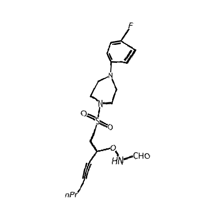 CCCC#CC(CS(=O)(=O)N1CCN(c2ccc(F)cc2)CC1)ONC=O